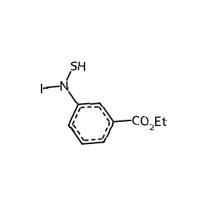 CCOC(=O)c1cccc(N(S)I)c1